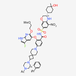 COCCOc1nc2[nH]cc(F)c2cc1Oc1cc(N2CCC3(CC2)CC(N2CCN(C(C)=O)C[C@H]2c2ccccc2C(C)C)C3)ccc1C(=O)NS(=O)(=O)c1cc2c(c([N+](=O)[O-])c1)N[C@@H](C1CCC(C)(O)CC1)CO2